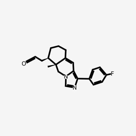 C[C@]12Cn3cnc(-c4ccc(F)cc4)c3C=C1CCC[C@@H]2CC=O